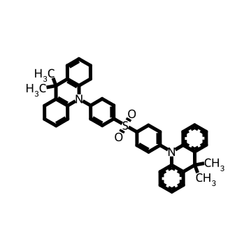 CC1(C)C2=C(CCC=C2)N(C2C=CC(S(=O)(=O)C3C=CC(N4c5ccccc5C(C)(C)c5ccccc54)=CC3)=CC2)C2=C1CCC=C2